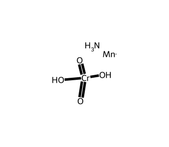 N.[Mn].[O]=[Cr](=[O])([OH])[OH]